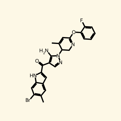 CC1=CC(Oc2ccccc2F)=NCC1n1ncc(C(=O)c2cc3cc(C)c(Br)cc3[nH]2)c1N